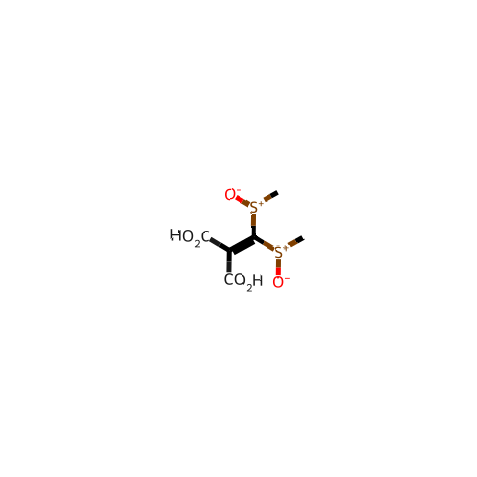 C[S+]([O-])C(=C(C(=O)O)C(=O)O)[S+](C)[O-]